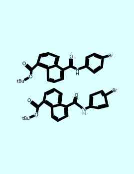 CC(C)(C)OC(=O)c1cccc2c(C(=O)Nc3ccc(Br)cc3)cccc12.CC(C)(C)OC(=O)c1cccc2c(C(=O)Nc3ccc(Br)cc3)cccc12